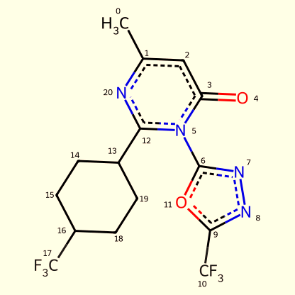 Cc1cc(=O)n(-c2nnc(C(F)(F)F)o2)c(C2CCC(C(F)(F)F)CC2)n1